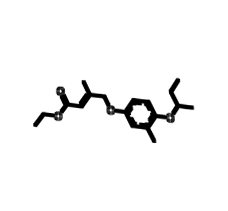 CCOC(=O)C=C(C)COc1ccc(OC(C)CC)c(C)c1